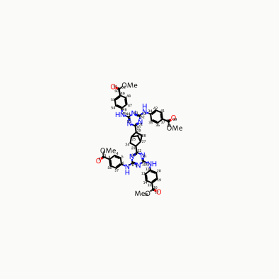 COC(=O)c1ccc(Nc2nc(Nc3ccc(C(=O)OC)cc3)nc(C3CC4CC3CC4c3nc(Nc4ccc(C(=O)OC)cc4)nc(Nc4ccc(C(=O)OC)cc4)n3)n2)cc1